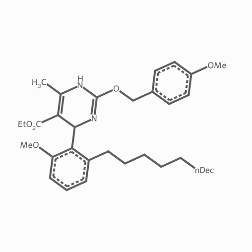 CCCCCCCCCCCCCCCc1cccc(OC)c1C1N=C(OCc2ccc(OC)cc2)NC(C)=C1C(=O)OCC